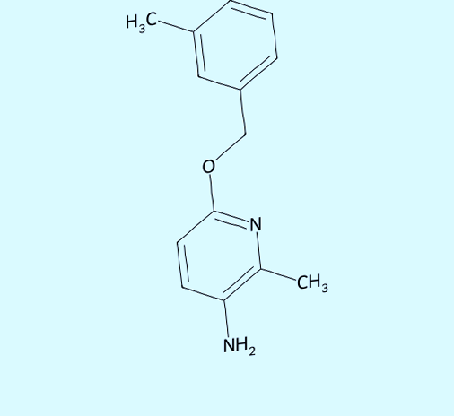 Cc1cccc(COc2ccc(N)c(C)n2)c1